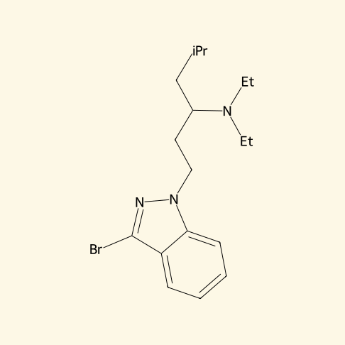 CCN(CC)C(CCn1nc(Br)c2ccccc21)CC(C)C